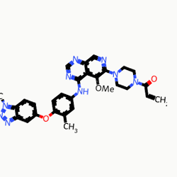 C=CC(=O)N1CCN(c2ncc3ncnc(Nc4ccc(Oc5ccc6c(c5)nnn6C)c(C)c4)c3c2OC)CC1